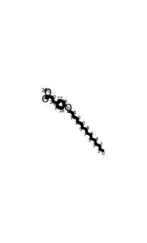 CCCCCCCCCCCCCCCCOc1ccc(CCC(=O)OC)cc1